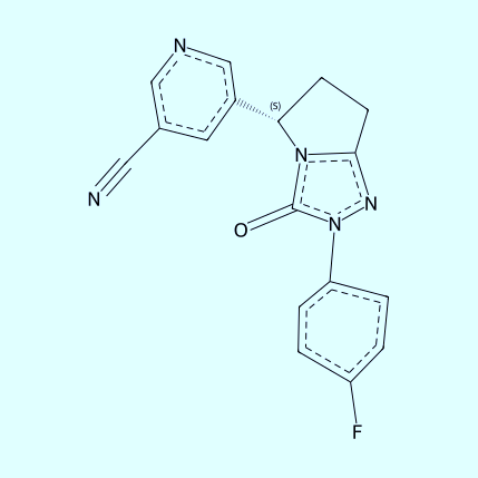 N#Cc1cncc([C@@H]2CCc3nn(-c4ccc(F)cc4)c(=O)n32)c1